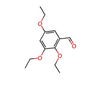 CCOc1cc(C=O)c(OCC)c(OCC)c1